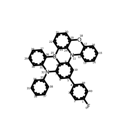 Fc1ccc(-c2cc3c4c(c2)N2c5ccccc5Oc5cccc(c52)B4c2ccccc2N3c2ccccc2)cc1